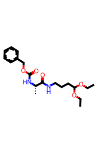 CCOC(CCCNC(=O)[C@H](C)NC(=O)OCc1ccccc1)OCC